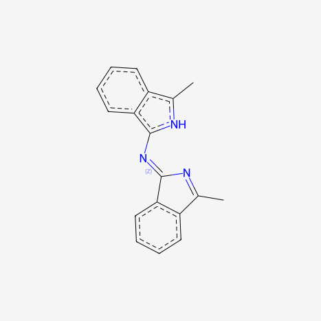 CC1=N/C(=N\c2[nH]c(C)c3ccccc23)c2ccccc21